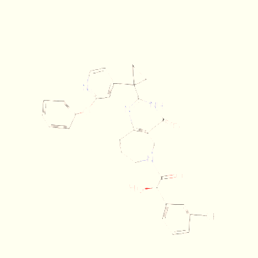 O=C([C@H](O)c1cccc(C(F)(F)F)c1)N1CCCc2nc(C3(c4ccnc(Oc5ccccc5)c4)CC3)[nH]c(=O)c2C1